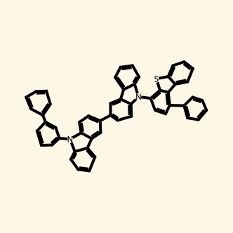 c1ccc(-c2cccc(-n3c4ccccc4c4cc(-c5ccc6c(c5)c5ccccc5n6-c5ccc(-c6ccccc6)c6c5sc5ccccc56)ccc43)c2)cc1